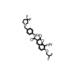 CCCc1c(OCC(F)F)ccc2cc(C(=O)Nc3ccc(CN4CCC(F)(F)C4)cc3)c(=O)oc12